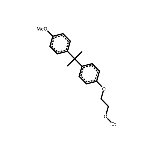 CCOCCOc1ccc(C(C)(C)c2ccc(OC)cc2)cc1